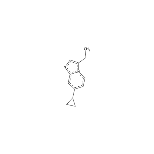 CCc1cnc2cc(C3CC3)ccn12